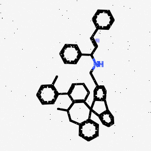 Cc1ccccc1C1=CCCC2=C1C(C)Cc1ccccc1C21c2ccccc2-c2ccc(CNC(/C=C/c3ccccc3)c3ccccc3)cc21